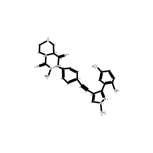 Cc1ccc(O)c(-c2nn(C)cc2C#Cc2ccc(NC(=O)C3COCCN3C(=O)OC(C)(C)C)cc2)c1